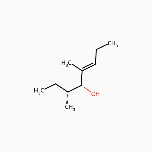 CC/C=C(\C)[C@H](O)[C@H](C)CC